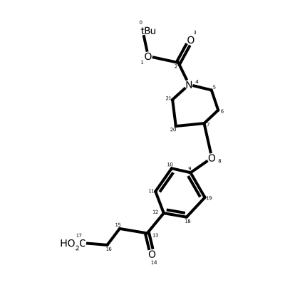 CC(C)(C)OC(=O)N1CCC(Oc2ccc(C(=O)CCC(=O)O)cc2)CC1